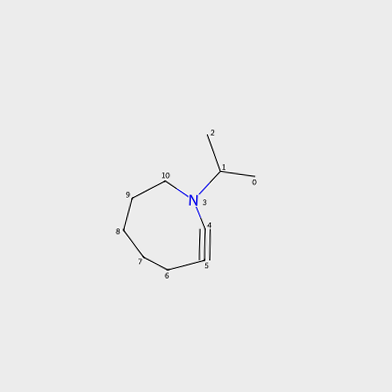 CC(C)N1C#CCCCCC1